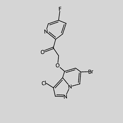 O=C(COc1cc(Br)cn2ncc(Cl)c12)c1ccc(F)cn1